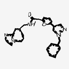 O=C(NCc1ccn2ccnc2c1)c1ccc(-c2cnn(Cc3ccccc3)c2)o1